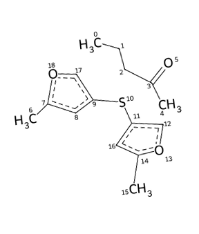 CCCC(C)=O.Cc1cc(Sc2coc(C)c2)co1